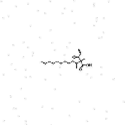 C=CC(=O)C(C)(C(=O)O)C(C)CCCCCCCCC